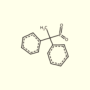 CC(c1ccccc1)(c1ccccc1)P(=O)=O